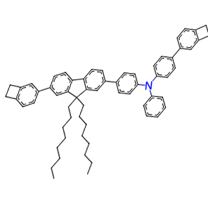 CCCCCCCCC1(CCCCCCCC)c2cc(-c3ccc(N(c4ccccc4)c4ccc(-c5ccc6c(c5)CC6)cc4)cc3)ccc2-c2ccc(-c3ccc4c(c3)CC4)cc21